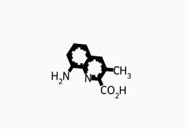 Cc1cc2cccc(N)c2nc1C(=O)O